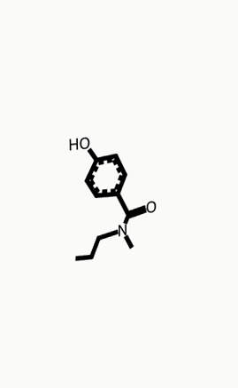 CCCN(C)C(=O)c1ccc(O)cc1